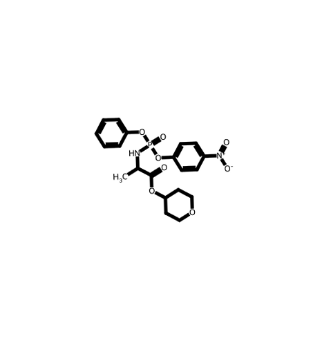 CC(NP(=O)(Oc1ccccc1)Oc1ccc([N+](=O)[O-])cc1)C(=O)OC1CCOCC1